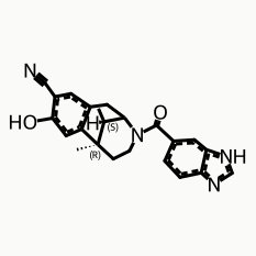 C[C@@H]1C2Cc3cc(C#N)c(O)cc3[C@]1(C)CCN2C(=O)c1ccc2nc[nH]c2c1